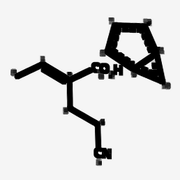 C/C=C(\CCC#N)C(=O)O.c1cc2cc-2c1